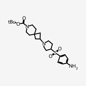 CC(C)(C)OC(=O)N1CCC2(CC1)CC(N1CCC(S(=O)(=O)c3ccc(N)cc3)CC1)C2